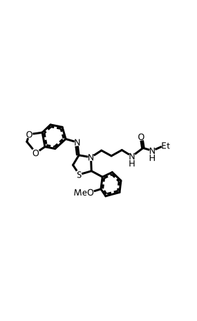 CCNC(=O)NCCCN1C(=Nc2ccc3c(c2)OCO3)CSC1c1ccccc1OC